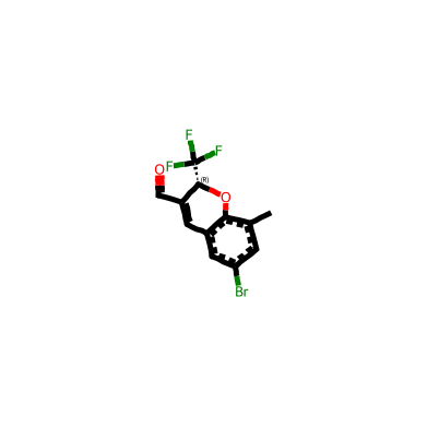 Cc1cc(Br)cc2c1O[C@@H](C(F)(F)F)C(C=O)=C2